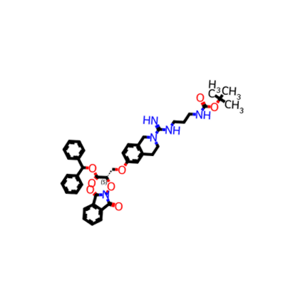 CC(C)(C)OC(=O)NCCCNC(=N)N1CCc2cc(OC[C@H](ON3C(=O)c4ccccc4C3=O)C(=O)OC(c3ccccc3)c3ccccc3)ccc2C1